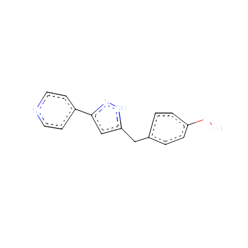 COc1ccc(Cc2cc(-c3ccncc3)n[nH]2)cc1